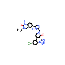 CN1Cc2cc(-c3cnc(Cn4ccc(-c5cc(Cl)ccc5-n5cnnn5)cc4=O)[nH]3)ccc2NC1=O